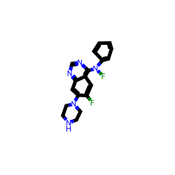 Fc1cc2c(N(F)c3ccccc3)ncnc2cc1N1CCNCC1